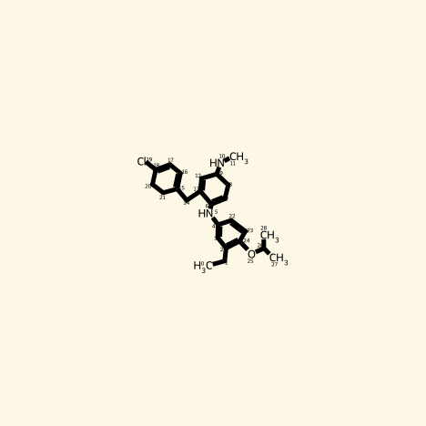 CCc1cc(NC2=CCC(NC)C=C2CC2=CC=C(Cl)CC2)ccc1OC(C)C